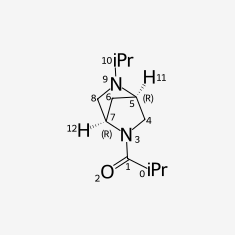 CC(C)C(=O)N1C[C@H]2C[C@@H]1CN2C(C)C